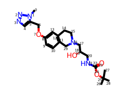 Cn1nncc1COc1ccc2c(c1)CCN(C[C@@H](O)CNC(=O)OC(C)(C)C)C2